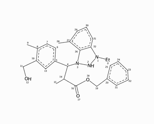 CCN1NN(C(c2ccc(C)c(CO)c2)C(C)C(=O)OCc2ccccc2)c2c(C)cccc21